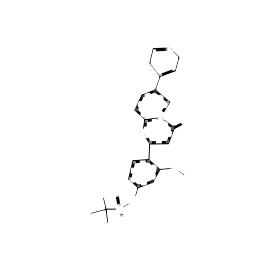 COc1cc(OS(=O)(=O)C(F)(F)F)ccc1-c1cc(=O)n2cc(C3=CCN=CC3)ccc2n1